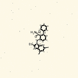 CCc1nc2c(C)cc(C)nc2n1Cc1cccc(-c2ccccc2)c1S(N)(=O)=O